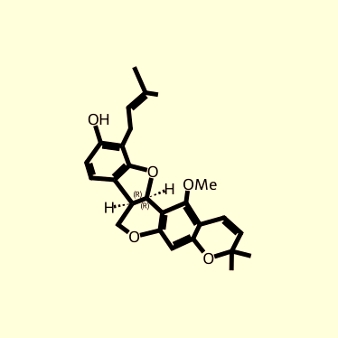 COc1c2c(cc3c1[C@@H]1Oc4c(ccc(O)c4CC=C(C)C)[C@@H]1CO3)OC(C)(C)C=C2